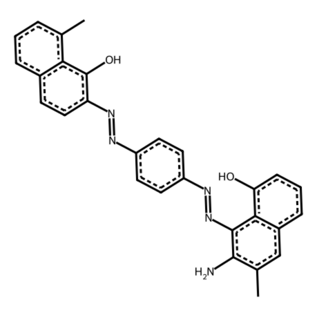 Cc1cc2cccc(O)c2c(N=Nc2ccc(N=Nc3ccc4cccc(C)c4c3O)cc2)c1N